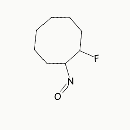 O=NC1CCCCCCC1F